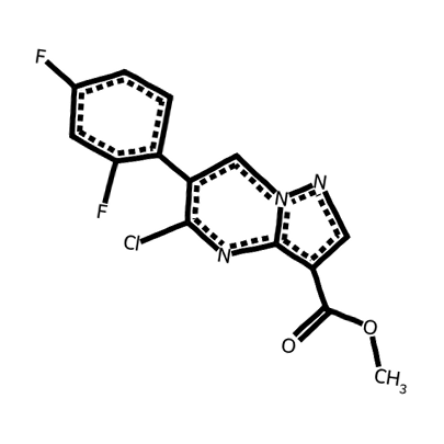 COC(=O)c1cnn2cc(-c3ccc(F)cc3F)c(Cl)nc12